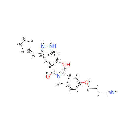 N#CCCCOc1ccc2c(c1)CN(C(=O)c1cc3c(CC4CCCC4)n[nH]c3cc1O)C2